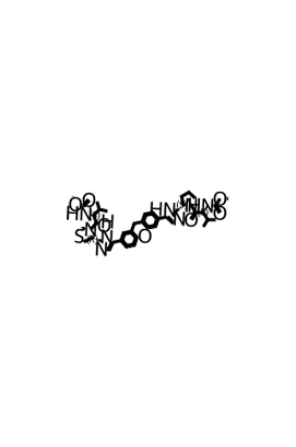 COC(=O)N[C@H](C(=O)N1CCC[C@H]1c1ncc(-c2ccc3c(c2)Oc2ccc(-c4cnc([C@@H]5CSCN5C(=O)[C@@H](NC(=O)OC)C(C)C)[nH]4)cc2C3)[nH]1)C(C)C